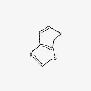 C1=Cc2ncsc2C1